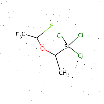 CC(OC(F)C(F)(F)F)[Si](Cl)(Cl)Cl